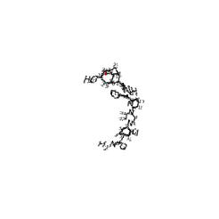 NC(=O)c1ccc(N2CCN(c3cccc(C(=O)NC4C5CC6CC4CC(O)(C6)C5)n3)CC2)c(Cl)c1